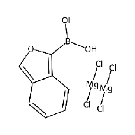 OB(O)c1occ2ccccc12.[Cl][Mg][Cl].[Cl][Mg][Cl]